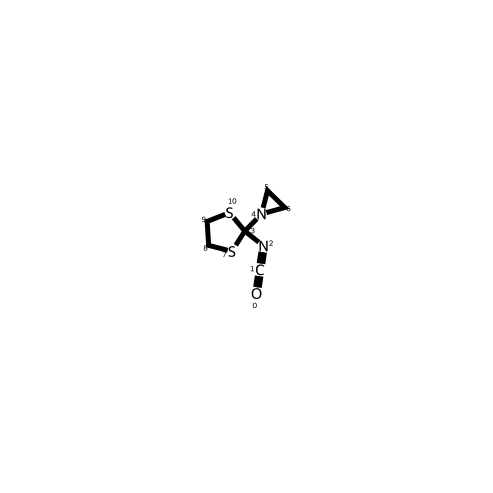 O=C=NC1(N2CC2)SCCS1